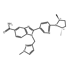 C[C@H]1CC[C@H](C)N1c1ccc(-c2nc3cc(C(N)=O)ccc3n2Cc2ccn(C)n2)cn1